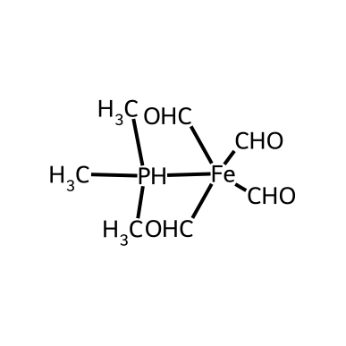 C[PH](C)(C)[Fe]([CH]=O)([CH]=O)([CH]=O)[CH]=O